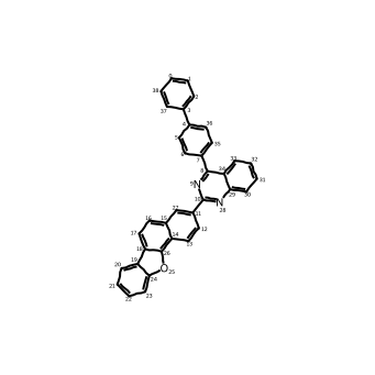 c1ccc(-c2ccc(-c3nc(-c4ccc5c(ccc6c7ccccc7oc56)c4)nc4ccccc34)cc2)cc1